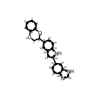 c1ccc2c(c1)OCC(c1ccc3[nH]c(-c4ccc5nc[nH]c5c4)cc3c1)O2